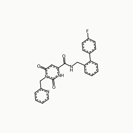 O=C(NCc1ccccc1-c1ccc(F)cc1)c1cc(=O)n(Cc2ccccn2)c(=O)[nH]1